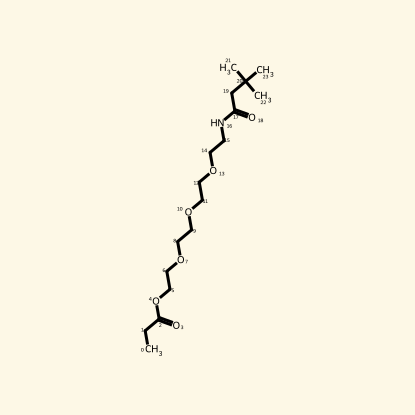 CCC(=O)OCCOCCOCCOCCNC(=O)CC(C)(C)C